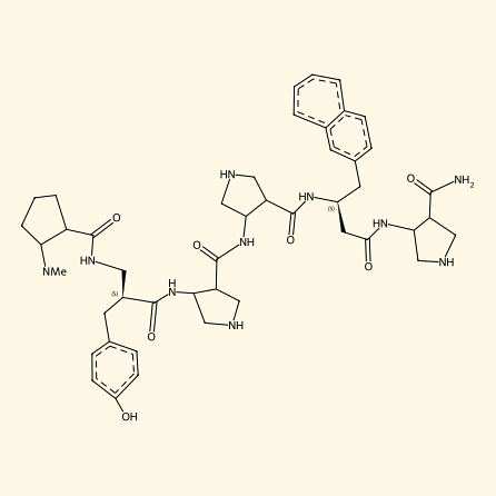 CNC1CCCC1C(=O)NC[C@H](Cc1ccc(O)cc1)C(=O)NC1CNCC1C(=O)NC1CNCC1C(=O)N[C@H](CC(=O)NC1CNCC1C(N)=O)Cc1ccc2ccccc2c1